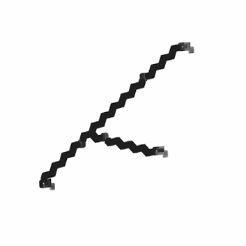 CCCCCCCCOC[C](CCCCCCCCCCOCCCCCCC)COCCCCCCCC